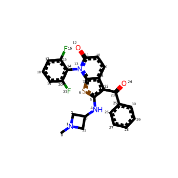 CN1CC(Nc2sc3c(ccc(=O)n3-c3c(F)cccc3F)c2C(=O)c2ccccc2)C1